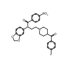 O=C(c1ccc(F)cc1)C1CCN(CCN(C(=O)c2ccc([N+](=O)[O-])cc2)c2ccc3c(c2)OCO3)CC1